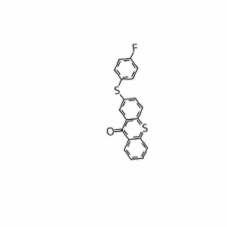 O=c1c2ccccc2sc2ccc(Sc3ccc(F)cc3)cc12